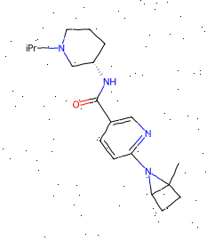 CC(C)N1CCC[C@H](NC(=O)c2ccc(N3C4CCC43C)nc2)C1